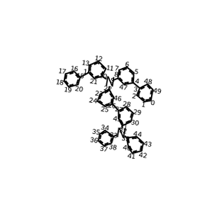 c1ccc(-c2cccc(N(c3cccc(-c4ccccc4)c3)c3cccc(-c4cccc(N(c5ccccc5)c5ccccc5)c4)c3)c2)cc1